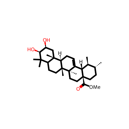 COC(=O)[C@]12CC[C@@H](C)[C@H](C)[C@H]1C1=CC[C@@H]3[C@@]4(C)C[C@H](O)[C@H](O)C(C)(C)C4CC[C@@]3(C)[C@]1(C)CC2